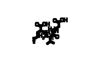 CC(C)[C@H](N)C(=O)O.CSCC[C@H](N)C(=O)O.NCC(=O)O